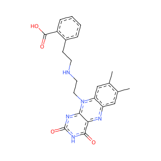 Cc1cc2nc3c(=O)[nH]c(=O)nc-3n(CCNCCc3ccccc3C(=O)O)c2cc1C